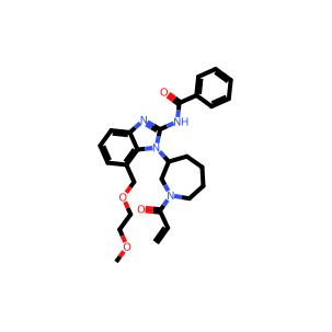 C=CC(=O)N1CCCCC(n2c(NC(=O)c3ccccc3)nc3cccc(COCCOC)c32)C1